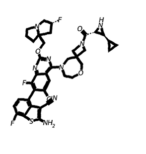 N#Cc1c(N)sc2c(F)ccc(-c3c(Cl)cc4c(N5CCOCC6(CN(C(=O)[C@@H]7N[C@H]7C7CC7)C6)C5)nc(OCC56CCCN5C[C@H](F)C6)nc4c3F)c12